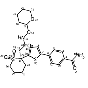 NC(=O)c1ccc(-c2ccc([C@@]3(CC(=O)NOC4CCCCO4)CCCCS3(=O)=O)s2)cc1